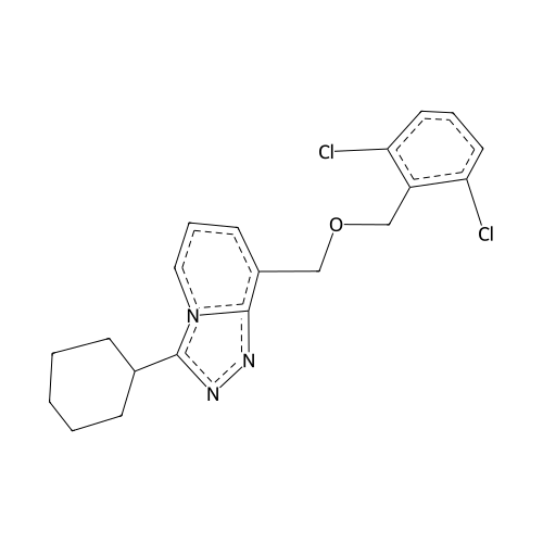 Clc1cccc(Cl)c1COCc1cccn2c(C3CCCCC3)nnc12